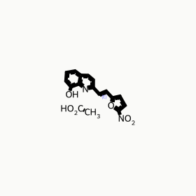 CC(=O)O.O=[N+]([O-])c1ccc(/C=C/c2ccc3cccc(O)c3n2)o1